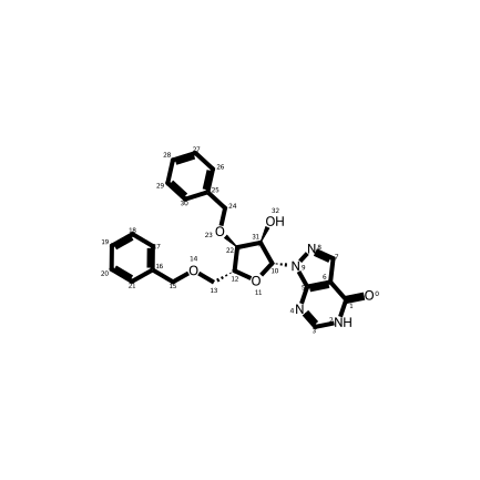 O=c1[nH]cnc2c1cnn2[C@@H]1O[C@H](COCc2ccccc2)[C@@H](OCc2ccccc2)[C@H]1O